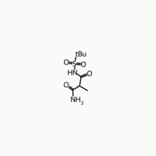 C[C](C(N)=O)C(=O)NS(=O)(=O)C(C)(C)C